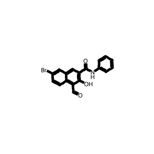 O=Cc1c(O)c(C(=O)Nc2ccccc2)cc2cc(Br)ccc12